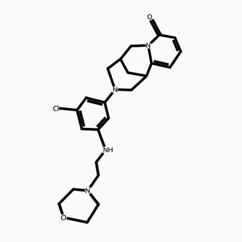 O=c1cccc2n1CC1CC2CN(c2cc(Cl)cc(NCCN3CCOCC3)c2)C1